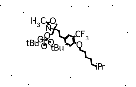 CC1=NC(CCc2ccc(OCCCCCC(C)C)c(C(F)(F)F)c2)(COP(=O)(OC(C)(C)C)OC(C)(C)C)CO1